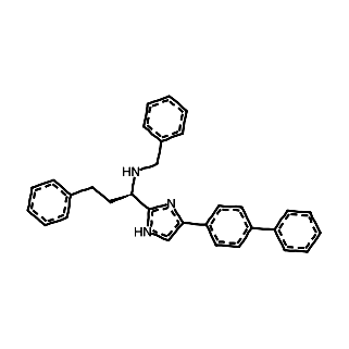 c1ccc(CC[C@@H](NCc2ccccc2)c2nc(-c3ccc(-c4ccccc4)cc3)c[nH]2)cc1